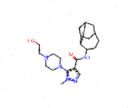 Cn1ncc(C(=O)NC2CCC3CC4CC(C3)C2C4)c1N1CCN(CCO)CC1